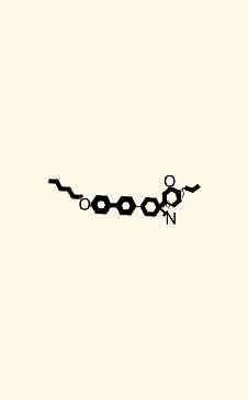 CCCCCCOc1ccc(-c2ccc([C@H]3CC[C@@](C#N)([C@@H]4CC[C@@H](CCC)C(=O)C4)CC3)cc2)cc1